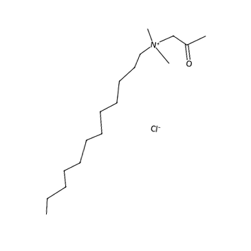 CCCCCCCCCCCC[N+](C)(C)CC(C)=O.[Cl-]